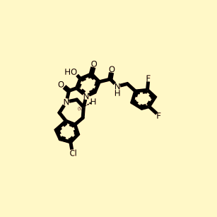 O=C(NCc1ccc(F)cc1F)c1cn2c(c(O)c1=O)C(=O)N1Cc3ccc(Cl)cc3C[C@H]2C1